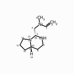 C=CN(C)C[C@@H]1NCC[C@@H]2CCCN21